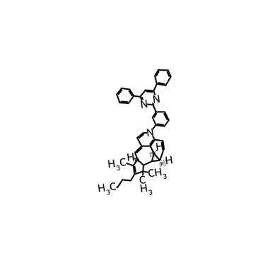 CCCCC1=C(C)[C@H]2C=C3C=CN(c4cccc(-c5nc(-c6ccccc6)cc(-c6ccccc6)n5)c4)C4=C3[C@@H]3C(C2C1(C)C)[C@@H]3C=C4